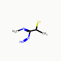 C/N=C(\N=N)C(C)S